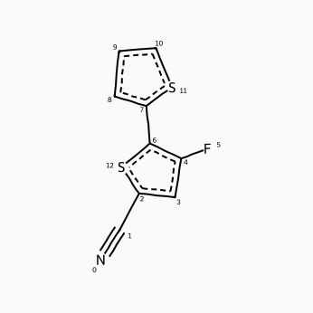 N#Cc1cc(F)c(-c2cccs2)s1